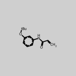 C=CC(=O)Nc1cccc(OC(C)(C)C)c1